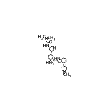 CN(C)CC(=O)Nc1cncc(-c2ccc3[nH]nc(-c4cc5c(N6CCN(C)CC6)cccc5[nH]4)c3c2)c1